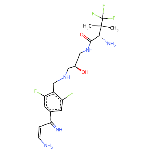 CC(C)([C@H](N)C(=O)NC[C@@H](O)CNCc1c(F)cc(C(=N)/C=C\N)cc1F)C(F)(F)F